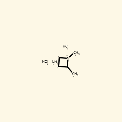 CC1CCN1C.Cl.Cl.N